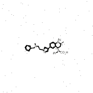 CC(=O)N1c2ccc(-c3cnn(CCN(C)Cc4ccccc4)c3)cc2[C@H](N(C(=O)O)C(C)C)C[C@@H]1C